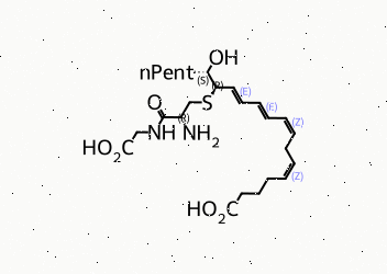 CCCCC[C@H](O)[C@@H](/C=C/C=C/C=C\C/C=C\CCCC(=O)O)SC[C@H](N)C(=O)NCC(=O)O